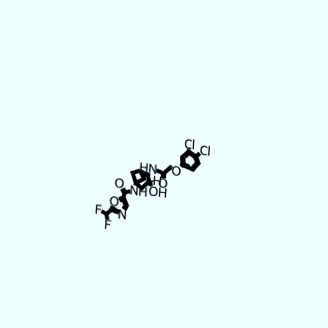 O=C(COc1ccc(Cl)c(Cl)c1)NC1=C2CC(NC(=O)c3cnc(C(F)F)o3)(C2)C[C@@H]1O